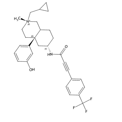 C[N@+]1(CC2CC2)CC[C@@]2(c3cccc(O)c3)C[C@@H](NC(=O)C#Cc3ccc(C(F)(F)F)cc3)CCC2C1